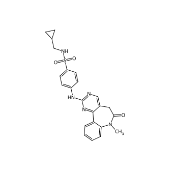 CN1C(=O)Cc2cnc(Nc3ccc(S(=O)(=O)NCC4CC4)cc3)nc2-c2ccccc21